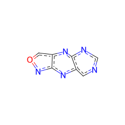 c1ncc2nc3nocc3nc2n1